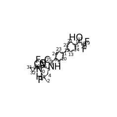 CC(C)(F)C[C@H](N[C@@H](c1ccc(-c2ccc([C@H](O)C(F)F)cc2)cc1)C(F)(F)F)C(=O)NC1(C#N)CC1